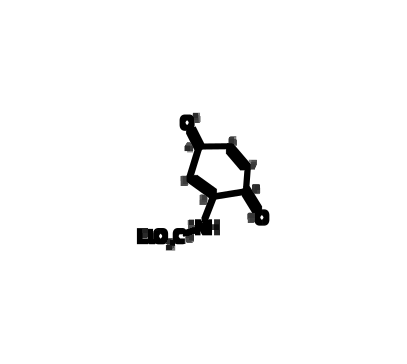 CCOC(=O)NC1=CC(=O)C=CC1=O